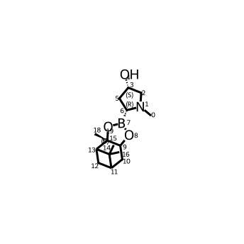 CN1C[C@@H](O)C[C@H]1B1OC2CC3CC(C3(C)C)[C@]2(C)O1